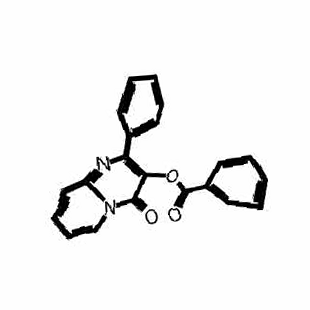 O=C(Oc1c(-c2ccccc2)nc2ccccn2c1=O)c1ccccc1